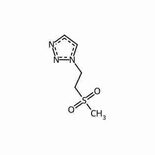 CS(=O)(=O)CCn1ccnn1